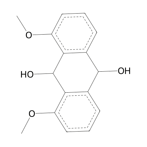 COc1cccc2c1C(O)c1c(OC)cccc1C2O